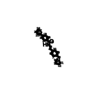 O=C(NCCc1ccc(CN2CCCC2)cc1)c1ccc(-c2cccs2)cc1